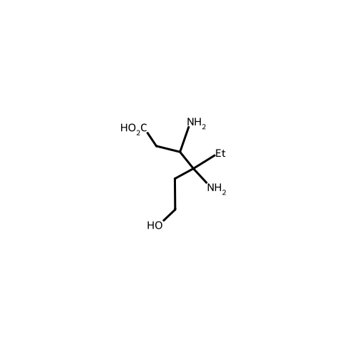 CCC(N)(CCO)C(N)CC(=O)O